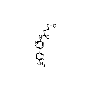 Cc1ccc(-c2ccc(NC(=O)CCC=O)nn2)cn1